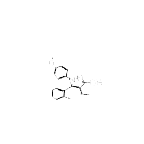 CCc1c(O)nn(-c2ccc(OC)cc2)c1-c1ccccc1C